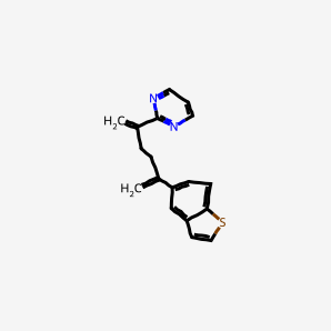 C=C(CCC(=C)c1ncccn1)c1ccc2sccc2c1